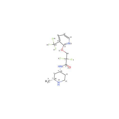 C[C@@H]1C[C@H](NC(=O)C(F)(F)COc2ncccc2C(F)(F)F)CCN1